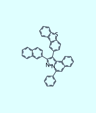 c1ccc(-c2cc3ccccc3c3c(-c4ccc5sc6ccccc6c5c4)c(-c4ccc5ccccc5c4)nn23)cc1